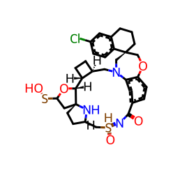 O=C1/N=[SH](=O)\C[C@@H]2CC[C@]3(CC(SO)O[C@@H]3[C@@H]3CC[C@H]3CN3C[C@@]4(CCCc5cc(Cl)ccc54)COc4ccc1cc43)N2